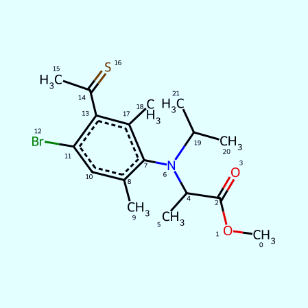 COC(=O)C(C)N(c1c(C)cc(Br)c(C(C)=S)c1C)C(C)C